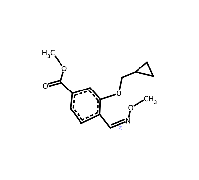 CO/N=C\c1ccc(C(=O)OC)cc1OCC1CC1